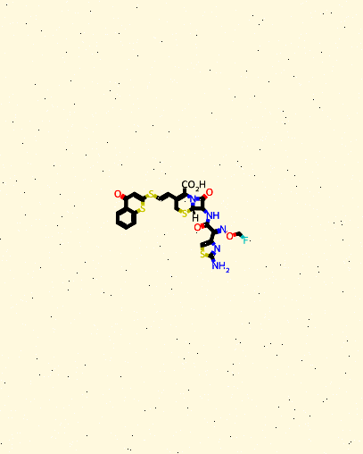 Nc1nc(C(=NOCF)C(=O)NC2C(=O)N3C(C(=O)O)=C(C=CSc4cc(=O)c5ccccc5s4)CS[C@@H]23)cs1